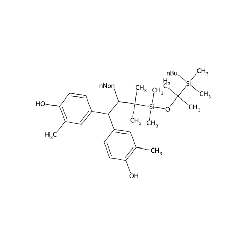 CCCCCCCCCC(C(c1ccc(O)c(C)c1)c1ccc(O)c(C)c1)C(C)(C)[Si](C)(C)OC(C)(C)[Si](C)(C)CCCC